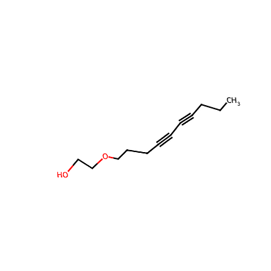 CCCC#CC#CCCCOCCO